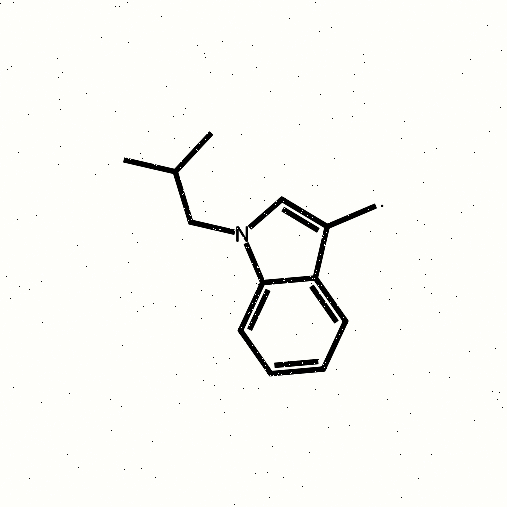 [CH2]c1cn(CC(C)C)c2ccccc12